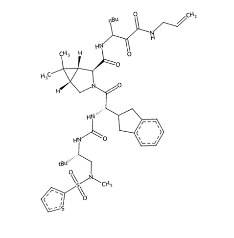 C=CCNC(=O)C(=O)C(CCCC)NC(=O)[C@@H]1[C@@H]2[C@H](CN1C(=O)[C@@H](NC(=O)N[C@H](CN(C)S(=O)(=O)c1cccs1)C(C)(C)C)C1Cc3ccccc3C1)C2(C)C